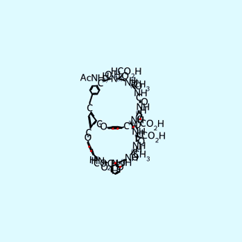 CC(=O)N[C@H]1Cc2ccc(cc2)CCc2cc3cc(c2)COc2ccc(cc2)[C@@H](C(=O)O)NC(=O)CNC(=O)[C@H](Cc2ccccc2)NC(=O)[C@H](C)NC(=O)[C@H](CC(=O)O)NC(=O)[C@H](Cc2ccc(cc2)OC3)NC(=O)[C@H](CCC(=O)O)NC(=O)CNC(=O)[C@H](C)NC(=O)[C@H](CC(=O)O)NC1=O